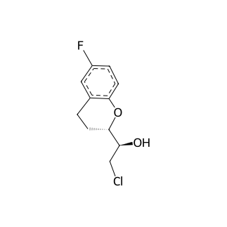 O[C@@H](CCl)[C@@H]1CCc2cc(F)ccc2O1